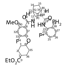 CCOC(=O)[C@H]1CC[C@@H](Oc2cc(C(=O)N[C@@H]3[C@H]4CC[C@H](C4)[C@@H]3C(=O)Nc3c(F)cccc3P)c(OC)cc2F)CC1